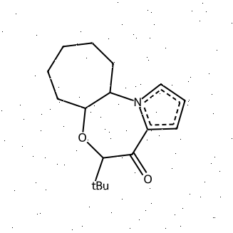 CC(C)(C)C1OC2CCCCCC2n2cccc2C1=O